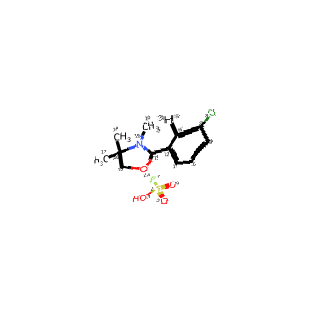 O=S(=O)(O)F.[3H]c1c(Cl)cccc1C1OCC(C)(C)N1C